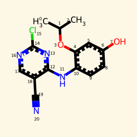 CC(C)Oc1cc(O)ccc1Nc1nc(Cl)ncc1C#N